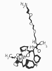 CCNC(=O)C(Cc1ccc(F)cc1)NC(=O)[C@@H]1CCCN1C(=O)C(NC(=O)C(C)NCCOCCOCCOCCN)C1CCCCC1